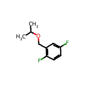 CC(C)OCc1cc(F)ccc1F